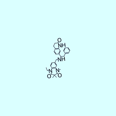 CCN1C(=O)C(C)(C)C(=O)N(C)c2cc(CNC(Cc3ccccc3)c3ccc4c(c3)NC(=O)CC4)ccc21